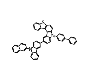 c1ccc(-c2ccc(-n3c4ccc(-c5ccc6c(c5)c5ccccc5n6-c5ccc6ccccc6c5)cc4c4c5c(ccc43)sc3ccccc35)cc2)cc1